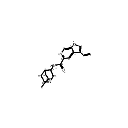 C=Cc1coc2cnc(C(=O)NC3CN4CCC3CC4C)cc12